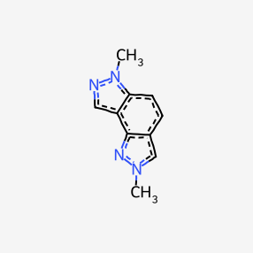 Cn1cc2ccc3c(cnn3C)c2n1